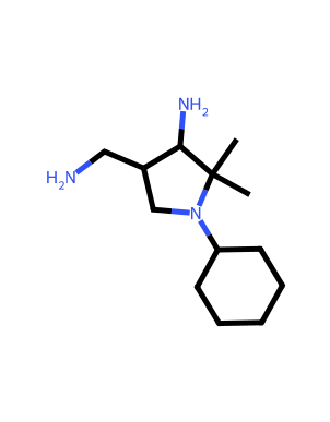 CC1(C)C(N)C(CN)CN1C1CCCCC1